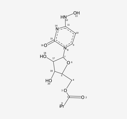 CC(C)C(=O)OCC1OC(n2ccc(NO)nc2=O)C(O)C1O